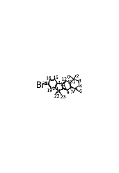 CC1(C)CCC(C)(C)c2cc3c(cc21)-c1ccc(Br)cc1C3(C)C